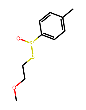 COCCS[S+]([O-])c1ccc(C)cc1